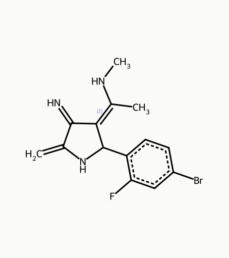 C=C1NC(c2ccc(Br)cc2F)/C(=C(\C)NC)C1=N